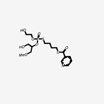 COCC(CO)OP(=O)(OCCO)SCCCCOC(=O)c1cccnc1